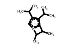 CC(C)c1cn2c(c1C(C)C)C(C)C2C